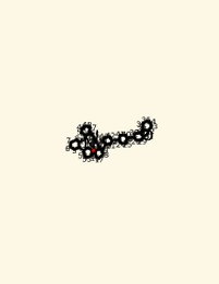 c1ccc(-c2ccccc2-c2nc(-n3c4ccccc4c4cc(-c5ccc(-c6ccc7oc8ccccc8c7c6)cc5)ccc43)nc3ccccc23)cc1